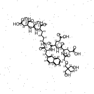 O=C(O)CCC(NC(=O)COCC(CO)(CO)CI)C(=O)NC(CCC(=O)O)C(=O)NC(Cc1ccc2ccccc2c1)C(=O)NCCCCC(NC(=O)NC(CC(=O)O)C(=O)O)C(=O)O